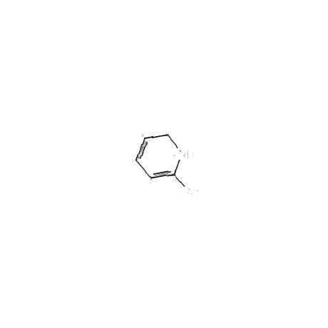 CC(=O)C1=CC=CCN1